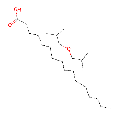 CC(C)COCC(C)C.CCCCCCCCCCCCCCCC(=O)O